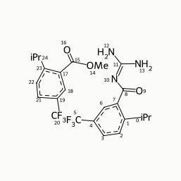 CC(C)c1ccc(C(F)(F)F)cc1C(=O)N=C(N)N.COC(=O)c1cc(C(F)(F)F)ccc1C(C)C